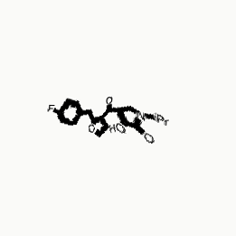 CC(C)N1CC(C(=O)c2ccoc2Cc2ccc(F)cc2)=C(O)C1=O